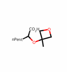 CCCCCC(OC1(C)COC1)C(=O)O